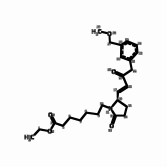 CCOC(=O)CCCCCCN1C(=O)CC[C@@H]1C=CC(=O)Cc1cccc(COC)c1